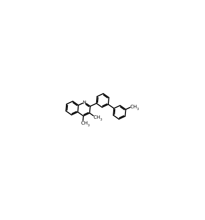 Cc1cccc(-c2cccc(-c3nc4ccccc4c(C)c3C)c2)c1